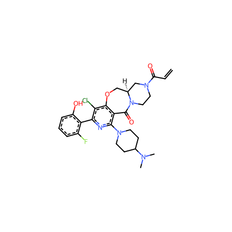 C=CC(=O)N1CCN2C(=O)c3c(N4CCC(N(C)C)CC4)nc(-c4c(O)cccc4F)c(Cl)c3OC[C@H]2C1